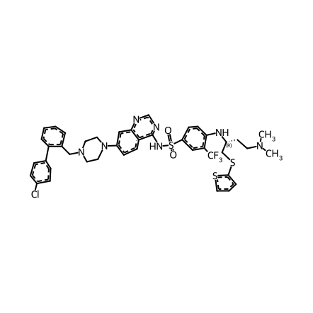 CN(C)CC[C@H](CSc1cccs1)Nc1ccc(S(=O)(=O)Nc2ncnc3cc(N4CCN(Cc5ccccc5-c5ccc(Cl)cc5)CC4)ccc23)cc1C(F)(F)F